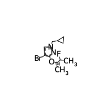 CC(F)[C@H](C)Oc1nn(CC2CC2)cc1Br